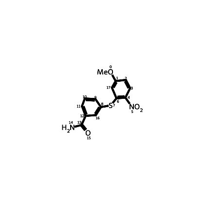 COc1ccc([N+](=O)[O-])c(Sc2cccc(C(N)=O)c2)c1